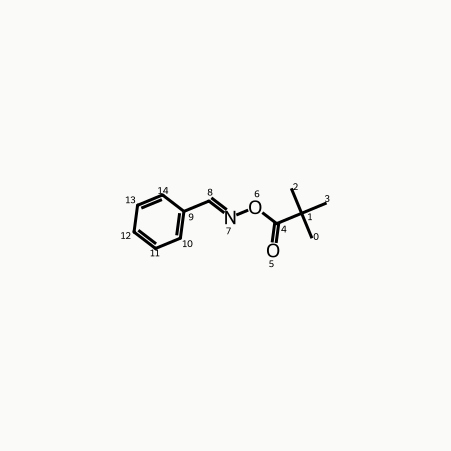 CC(C)(C)C(=O)O/N=C/c1ccccc1